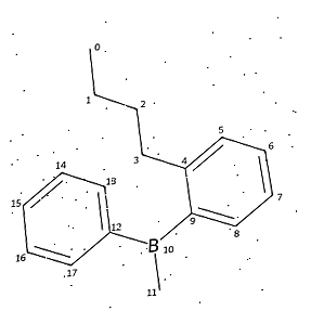 CCCCc1ccccc1B(C)c1ccccc1